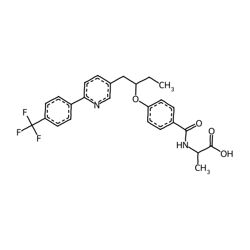 CCC(Cc1ccc(-c2ccc(C(F)(F)F)cc2)nc1)Oc1ccc(C(=O)NC(C)C(=O)O)cc1